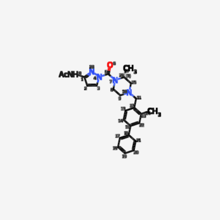 CC(=O)Nc1ccn(C(=O)N2CCN(Cc3ccc(-c4ccccc4)cc3C)C[C@H]2C)n1